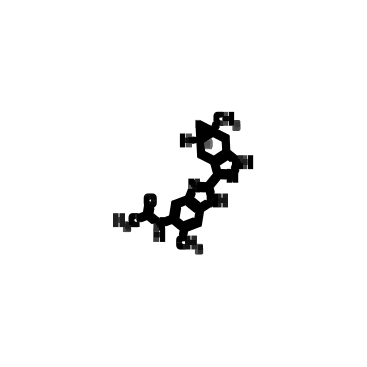 CC(=O)Nc1cc2nc(-c3n[nH]c4c3C[C@@H]3C[C@]3(C)C4)[nH]c2cc1C